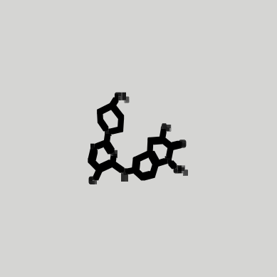 CC(=O)c1cc2cc(Nc3nc(N4CCC(C)CC4)ncc3Cl)ccc2n(C)c1=O